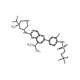 CC(C)c1cc(-c2ccc(NS(=O)(=O)CCC(F)(F)F)c(F)c2)nc2cnc(N[C@@H]3CNC[C@@](C)(C(F)F)C3)nc12